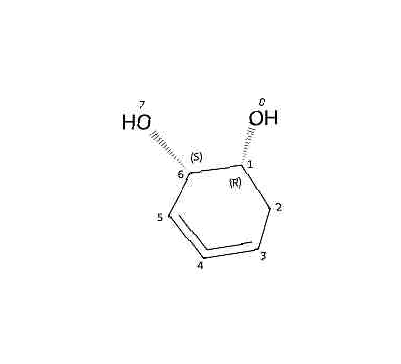 O[C@@H]1CC=C=C[C@@H]1O